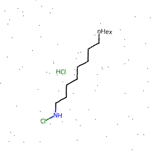 CCCCCCCCCCCCCCNCl.Cl